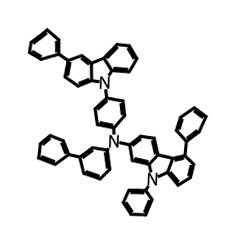 c1ccc(-c2cccc(N(c3ccc(-n4c5ccccc5c5cc(-c6ccccc6)ccc54)cc3)c3ccc4c5c(-c6ccccc6)cccc5n(-c5ccccc5)c4c3)c2)cc1